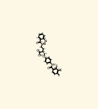 Cc1ccc(C(=O)Nc2ccc(OC[C@H](CCn3nnc4ccccc4c3=O)C(=O)O)cc2)c(F)c1F